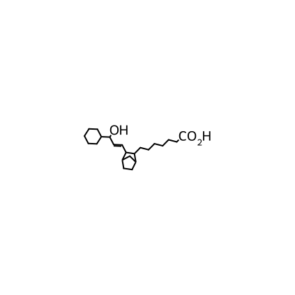 O=C(O)CCCCCCC1C2CCC(C2)C1/C=C/C(O)C1CCCCC1